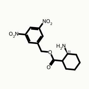 N[C@H]1CCCCC1C(=O)OCc1cc([N+](=O)[O-])cc([N+](=O)[O-])c1